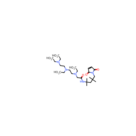 CC(C)(CN1C(=O)C=CC1=O)CC(C)(C)NC(=O)CN(CCN(CCN(CC(=O)O)CC(=O)O)CC(=O)O)CC(=O)O